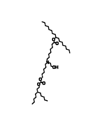 CCCCCCCCC(CCCCCCCC)OC(=O)CCCCCCCN(CCO)CCCCCCOC(=O)OCCC(CCCCC)CCCCC